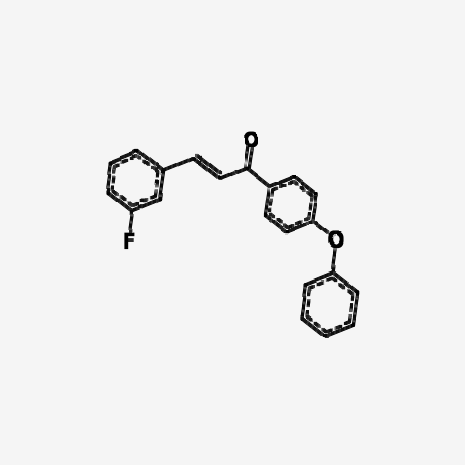 O=C(C=Cc1cccc(F)c1)c1ccc(Oc2ccccc2)cc1